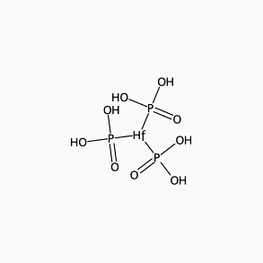 O=[P](O)(O)[Hf]([P](=O)(O)O)[P](=O)(O)O